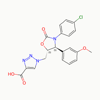 COc1cccc([C@H]2[C@H](Cn3cc(C(=O)O)nn3)OC(=O)N2c2ccc(Cl)cc2)c1